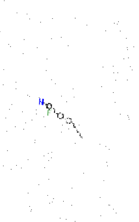 CCCCCCC[C@H]1CC[C@H](c2ccc(CCc3ccc(C#N)cc3F)cc2)CC1